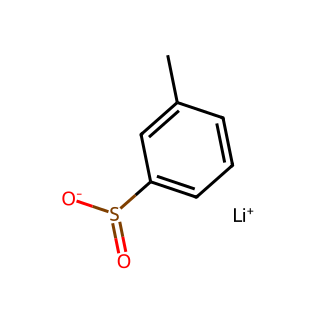 Cc1cccc(S(=O)[O-])c1.[Li+]